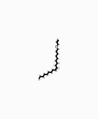 C=CCOCCCCCCCC/C=C\CCCCCCCC